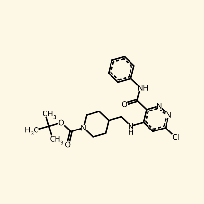 CC(C)(C)OC(=O)N1CCC(CNc2cc(Cl)nnc2C(=O)Nc2ccccc2)CC1